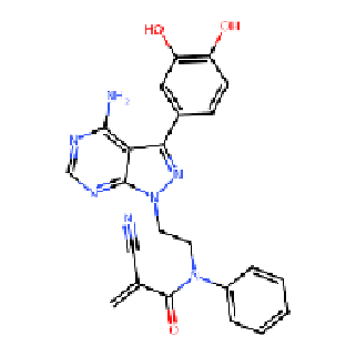 C=C(C#N)C(=O)N(CCn1nc(-c2ccc(O)c(O)c2)c2c(N)ncnc21)c1ccccc1